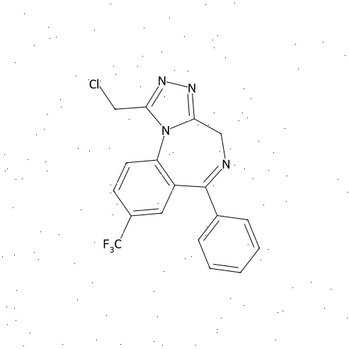 FC(F)(F)c1ccc2c(c1)C(c1ccccc1)=NCc1nnc(CCl)n1-2